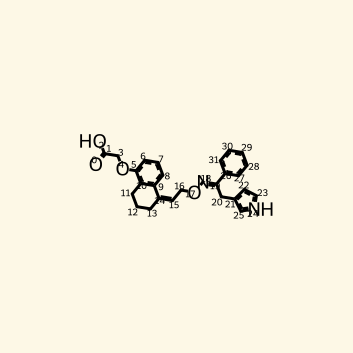 O=C(O)COc1cccc2c1CCC/C2=C/CO/N=C(\Cc1cc[nH]c1)c1ccccc1